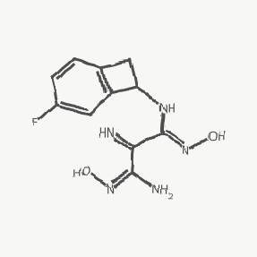 N=C(/C(=N/O)NC1Cc2ccc(F)cc21)/C(N)=N\O